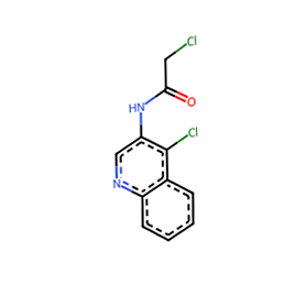 O=C(CCl)Nc1cnc2ccccc2c1Cl